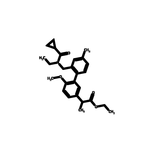 CCOC(=O)C(C)c1ccc(OC)c(-c2ccc(C)cc2CN(CC)C(=O)C2CC2)c1